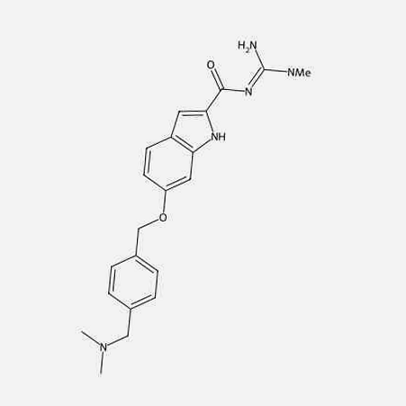 CNC(N)=NC(=O)c1cc2ccc(OCc3ccc(CN(C)C)cc3)cc2[nH]1